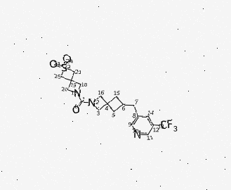 O=C(N1CC2(CC(Cc3cncc(C(F)(F)F)c3)C2)C1)N1CC2(C1)CS(=O)(=O)C2